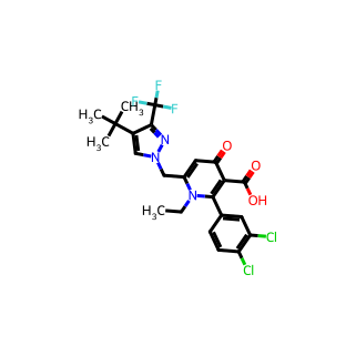 CCn1c(Cn2cc(C(C)(C)C)c(C(F)(F)F)n2)cc(=O)c(C(=O)O)c1-c1ccc(Cl)c(Cl)c1